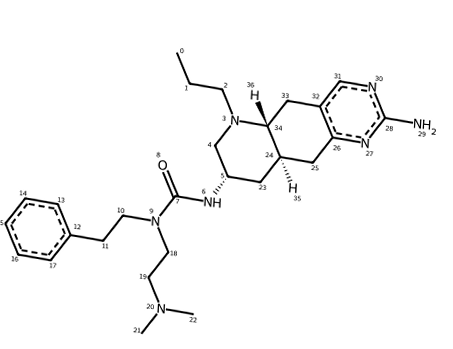 CCCN1C[C@@H](NC(=O)N(CCc2ccccc2)CCN(C)C)C[C@@H]2Cc3nc(N)ncc3C[C@H]21